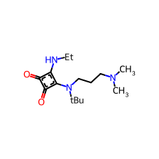 CCNc1c(N(CCCN(C)C)C(C)(C)C)c(=O)c1=O